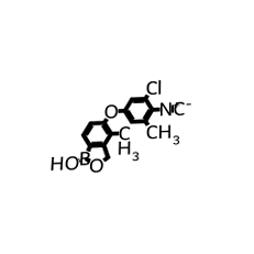 [C-]#[N+]c1c(C)cc(Oc2ccc3c(c2C)COB3O)cc1Cl